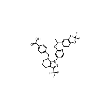 CC(Oc1cc(-n2nc(C(F)(F)F)c3c2N(Cc2ccc(C(=O)O)cc2)CCC3)ccn1)c1ccc2c(c1)OC(F)(F)O2